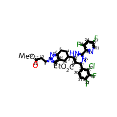 CCOC(=O)C1=C(C2CCc3nn(CCC(=O)OC)cc3C2)NC(c2ncc(F)cc2F)=NC1c1ccc(F)c(F)c1Cl